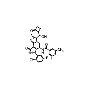 Cn1nc2c3c(c(NC(=O)c4cc(F)cc(C(F)(F)F)c4)cc2c1C(O)C1CCC1=O)C(c1cc(F)ccc1Cl)NC3=O